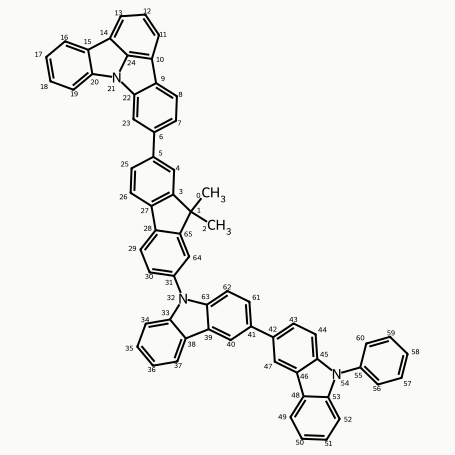 CC1(C)c2cc(-c3ccc4c5cccc6c7ccccc7n(c4c3)c65)ccc2-c2ccc(-n3c4ccccc4c4cc(-c5ccc6c(c5)c5ccccc5n6-c5ccccc5)ccc43)cc21